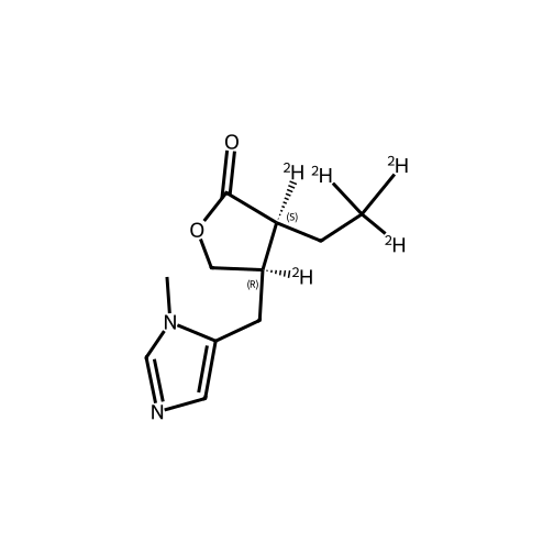 [2H]C([2H])([2H])C[C@]1([2H])C(=O)OC[C@]1([2H])Cc1cncn1C